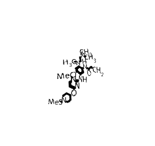 C=CC(=O)Nc1cc(Nc2nccc(OC3CCN(SC)CC3)n2)c(OC)cc1N(C)CCN(C)C